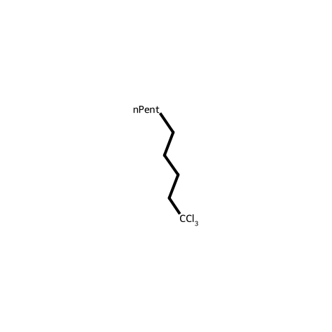 [CH2]CCCCCCCCC(Cl)(Cl)Cl